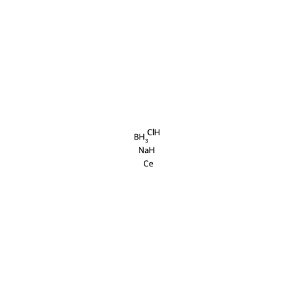 B.Cl.[Ce].[NaH]